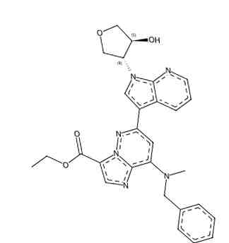 CCOC(=O)c1cnc2c(N(C)Cc3ccccc3)cc(-c3cn([C@@H]4COC[C@H]4O)c4ncccc34)nn12